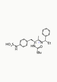 CCC(/N=C(\C)[C@H](Cc1ccc(NS(=O)(=O)O)cc1)NC(=O)C(C)(C)C)c1ccccc1